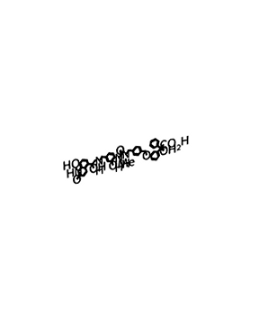 COc1cc(CNCC(O)c2ccc(O)c3[nH]c(=O)ccc23)ccc1NC(=O)NCc1ccc(COc2cccc(C(O)(C(=O)O)c3ccccc3)c2)cc1